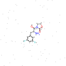 NC(Cc1cc(F)cc(F)c1)C(=O)N1CCOC1=O